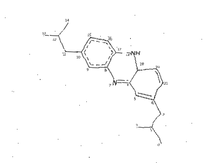 CC(C)CC1=CC2=Nc3cc(CC(C)C)ccc3NC2C=C1